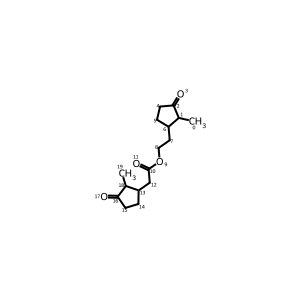 CC1C(=O)CCC1CCOC(=O)CC1CCC(=O)C1C